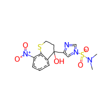 CN(C)S(=O)(=O)n1cnc(C2(O)CCSc3c([N+](=O)[O-])cccc32)c1